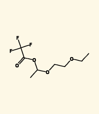 CCOCCOC(C)OC(=O)C(F)(F)F